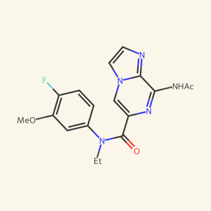 CCN(C(=O)c1cn2ccnc2c(NC(C)=O)n1)c1ccc(F)c(OC)c1